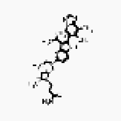 CCN(C[C@H]1C[C@@H](C)N1CCC(N)=O)c1ccc2[nH]c(-c3cn4ncnc4c(C)c3C)c(C(C)C)c2n1